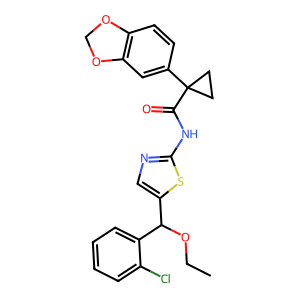 CCOC(c1cnc(NC(=O)C2(c3ccc4c(c3)OCO4)CC2)s1)c1ccccc1Cl